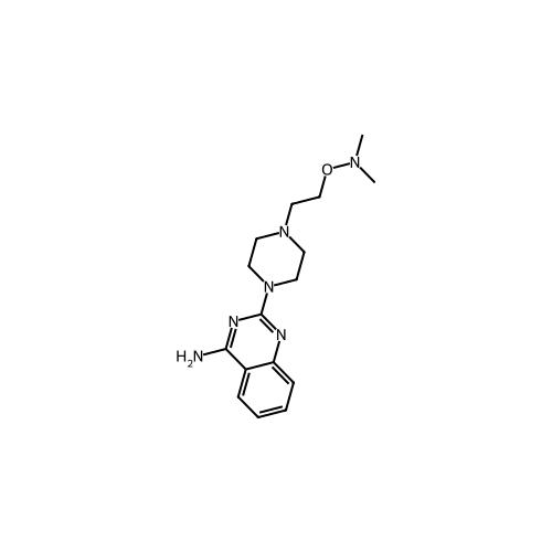 CN(C)OCCN1CCN(c2nc(N)c3ccccc3n2)CC1